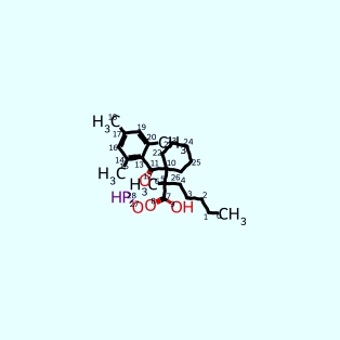 CCCCCC(C)(C(=O)O)C1(C(=O)c2c(C)cc(C)cc2C)CCCCC1.O=P